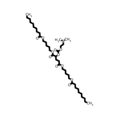 CCCCCCCCCC(=O)OCCCCCOC(=O)CCC(OC(=O)OCCN(C)C)C(=O)OCCCCCOC(=O)CCCCCCCCC